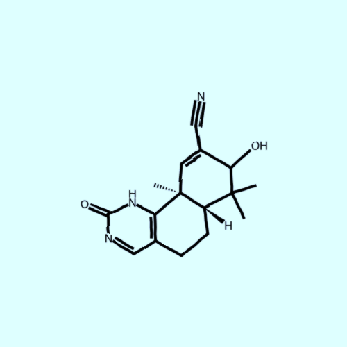 CC1(C)C(O)C(C#N)=C[C@]2(C)c3[nH]c(=O)ncc3CC[C@@H]12